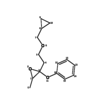 CC1OC1(CCOCC1CC1)Oc1ccccc1